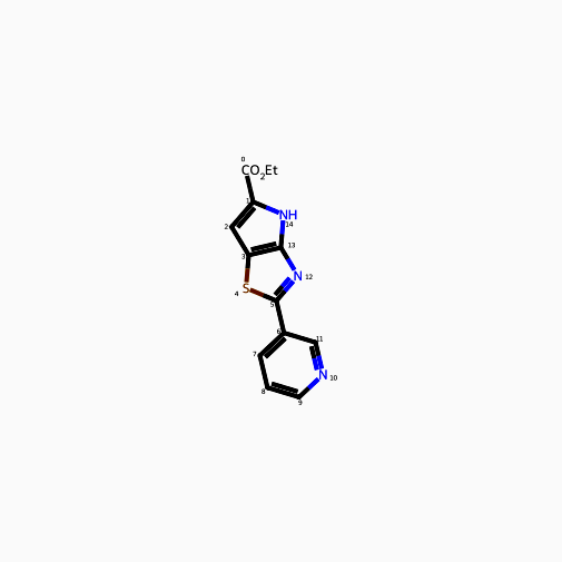 CCOC(=O)c1cc2sc(-c3cccnc3)nc2[nH]1